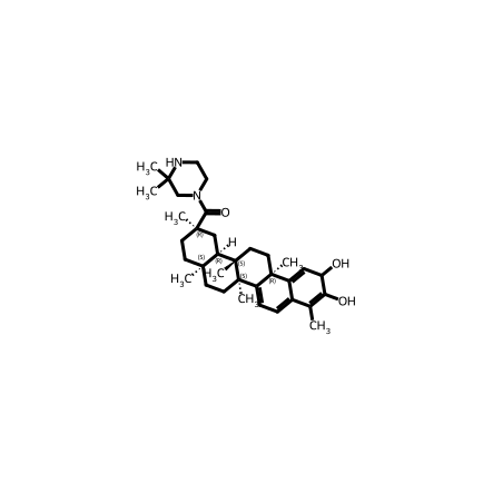 CC1=C(O)C(O)C=C2C1=CC=C1[C@@]2(C)CC[C@@]2(C)[C@@H]3C[C@](C)(C(=O)N4CCNC(C)(C)C4)CC[C@]3(C)CC[C@]12C